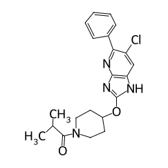 CC(C)C(=O)N1CCC(Oc2nc3nc(-c4ccccc4)c(Cl)cc3[nH]2)CC1